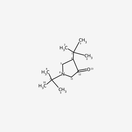 CC(C)(C)C1CN(C(C)(C)C)CC1=O